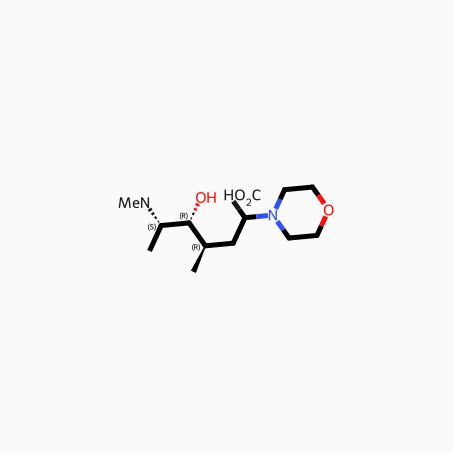 CN[C@@H](C)[C@H](O)[C@H](C)CC(C(=O)O)N1CCOCC1